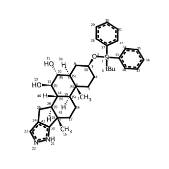 CC(C)(C)[Si](O[C@H]1CC[C@@]2(C)[C@H](C1)[C@@H](O)[C@H](O)[C@@H]1[C@@H]2CC[C@]2(C)c3[nH]ncc3C[C@@H]12)(c1ccccc1)c1ccccc1